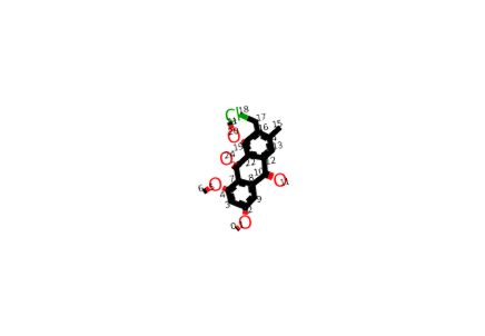 COc1cc(OC)c2c(c1)C(=O)c1cc(C)c(CCl)c(OC)c1C2=O